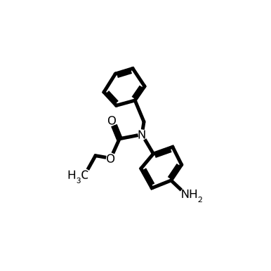 CCOC(=O)N(Cc1ccccc1)c1ccc(N)cc1